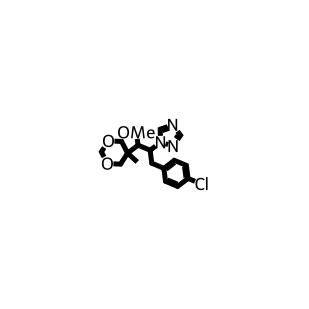 COC(C(Cc1ccc(Cl)cc1)n1cncn1)C1(C)COCOC1